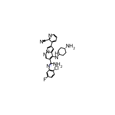 N#Cc1ncccc1-c1cc2c(N[C@H]3CC[C@H](N)CC3)c(/C(N)=N/c3cc(F)ccc3Cl)cnn2c1